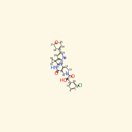 O=C([C@H](O)c1cccc(Cl)c1)N1CCc2nc(C3(c4cncc(C5=CCOCC5)c4)CC3)[nH]c(=O)c2C1